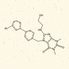 CC(C)c1cccc(-c2ccc(Cn3c(NCCO)nc4c3c(=O)n(C)c(=O)n4C)cc2)c1